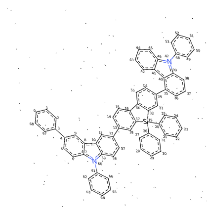 c1ccc(-c2ccc3c(c2)c2cc(-c4ccc5c(c4)[Si](c4ccccc4)(c4ccccc4)c4cc(-c6cccc7c6c6ccccc6n7-c6ccccc6)ccc4-5)ccc2n3-c2ccccc2)cc1